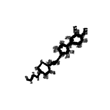 C/C=C/CC1CCC(C#Cc2ccc(-c3ccc(F)c(F)c3)cc2)CC1